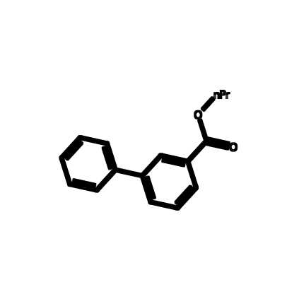 CCCOC(=O)c1cccc(-c2ccccc2)c1